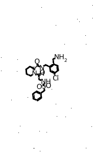 NCc1ccc(Cl)cc1CNC(=O)[C@@H]1CCCCN1C(=O)CNS(=O)(=O)Cc1ccccc1